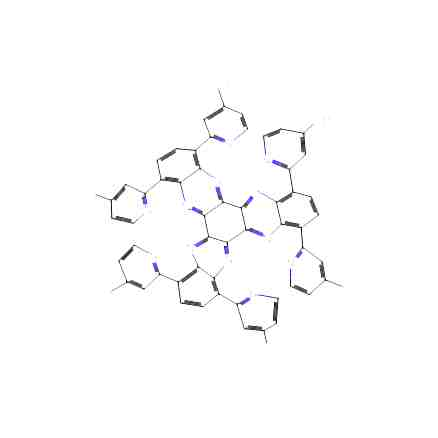 Cc1ccnc(-c2ccc(-c3cc(C)ccn3)c3nc4c(nc23)c2nc3c(-c5cc(C)ccn5)ccc(-c5cc(C)ccn5)c3nc2c2nc3c(-c5cc(C)ccn5)ccc(-c5cc(C)ccn5)c3nc42)c1